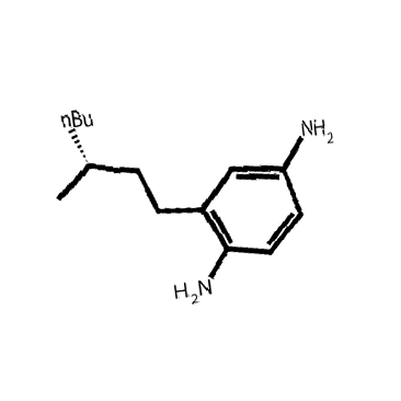 CCCC[C@@H](C)CCc1cc(N)ccc1N